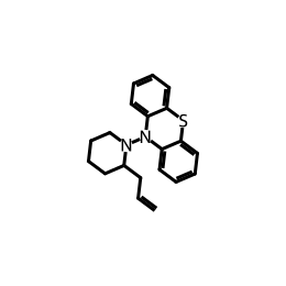 C=CCC1CCCCN1N1c2ccccc2Sc2ccccc21